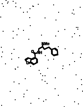 CNC(CCc1ccccc1)CNC(=O)c1cccc2occc12